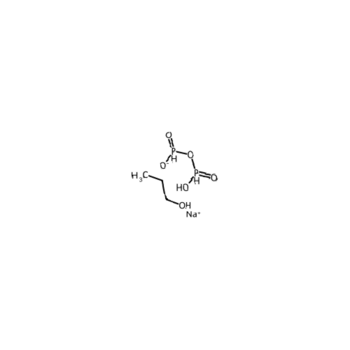 CCCO.O=[PH]([O-])O[PH](=O)O.[Na+]